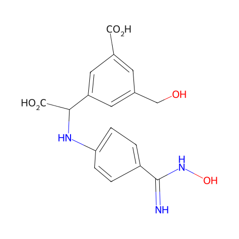 N=C(NO)c1ccc(NC(C(=O)O)c2cc(CO)cc(C(=O)O)c2)cc1